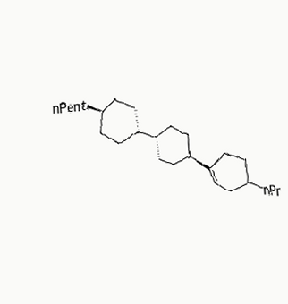 CCCCC[C@H]1CC[C@H]([C@H]2CC[C@H](C3=CCC(CCC)CC3)CC2)CC1